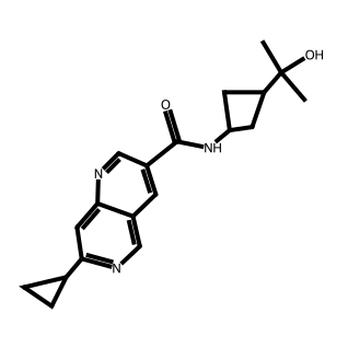 CC(C)(O)C1CC(NC(=O)c2cnc3cc(C4CC4)ncc3c2)C1